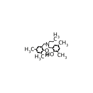 CCCN(Cc1cc(C)cc(C)c1O)Cc1cc(C)cc(C)c1O